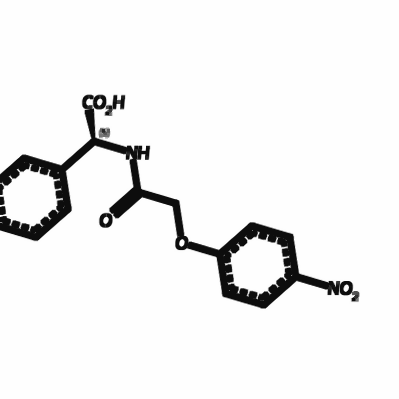 O=C(COc1ccc([N+](=O)[O-])cc1)N[C@H](C(=O)O)c1ccccc1